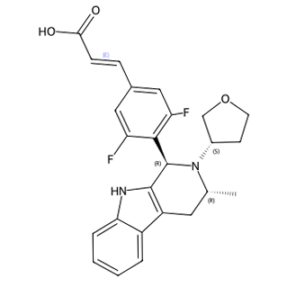 C[C@@H]1Cc2c([nH]c3ccccc23)[C@@H](c2c(F)cc(/C=C/C(=O)O)cc2F)N1[C@H]1CCOC1